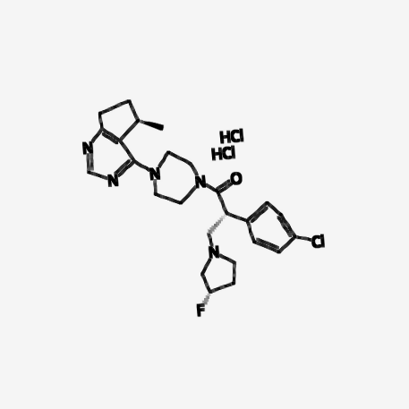 C[C@@H]1CCc2ncnc(N3CCN(C(=O)[C@@H](CN4CC[C@H](F)C4)c4ccc(Cl)cc4)CC3)c21.Cl.Cl